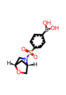 O=S(=O)(c1ccc(B(O)O)cc1)N1C[C@@H]2C[C@H]1CO2